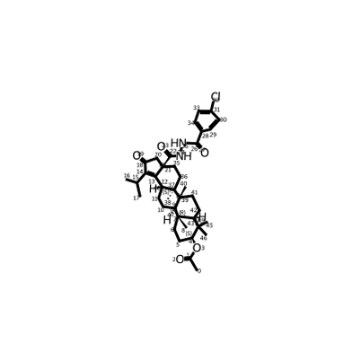 CC(=O)O[C@H]1CC[C@]2(C)[C@H]3CC[C@@H]4C5=C(C(C)C)C(=O)C[C@]5(C(=O)NNC(=O)c5ccc(Cl)cc5)CC[C@@]4(C)[C@]3(C)CC[C@H]2C1(C)C